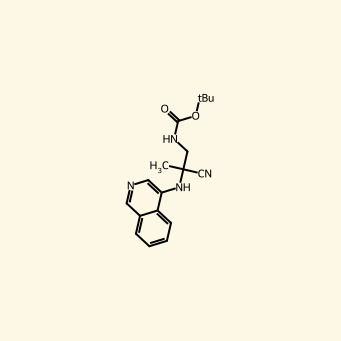 CC(C#N)(CNC(=O)OC(C)(C)C)Nc1cncc2ccccc12